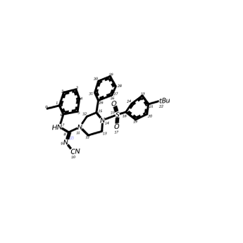 Cc1ccccc1N/C(=N/C#N)N1CCN(S(=O)(=O)c2ccc(C(C)(C)C)cc2)C(c2ccccc2)C1